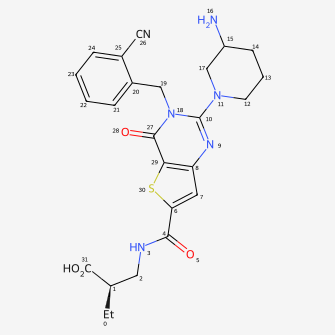 CC[C@H](CNC(=O)c1cc2nc(N3CCCC(N)C3)n(Cc3ccccc3C#N)c(=O)c2s1)C(=O)O